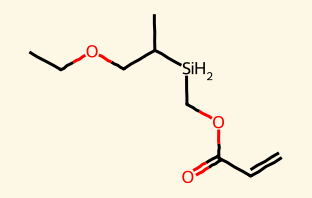 C=CC(=O)OC[SiH2]C(C)COCC